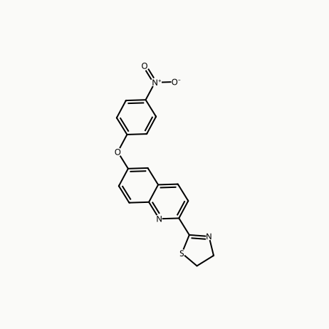 O=[N+]([O-])c1ccc(Oc2ccc3nc(C4=NCCS4)ccc3c2)cc1